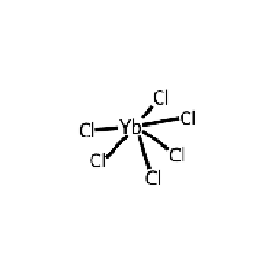 [Cl][Yb]([Cl])([Cl])([Cl])([Cl])[Cl]